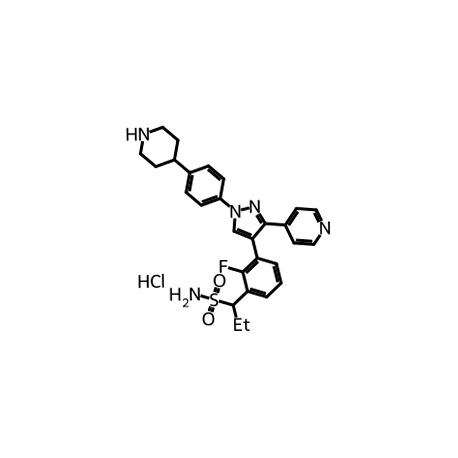 CCC(c1cccc(-c2cn(-c3ccc(C4CCNCC4)cc3)nc2-c2ccncc2)c1F)S(N)(=O)=O.Cl